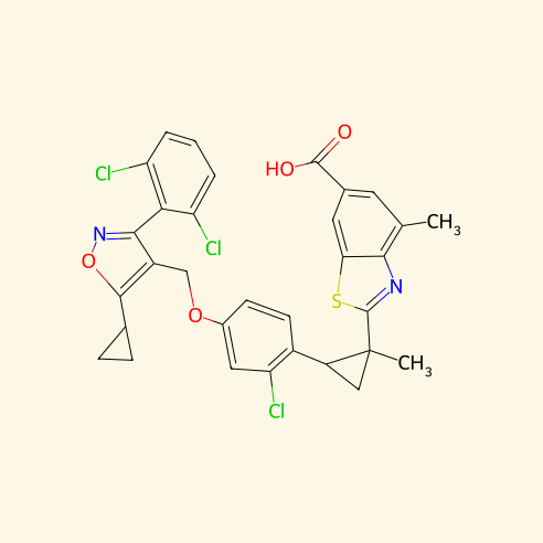 Cc1cc(C(=O)O)cc2sc(C3(C)CC3c3ccc(OCc4c(-c5c(Cl)cccc5Cl)noc4C4CC4)cc3Cl)nc12